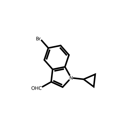 O=Cc1cn(C2CC2)c2ccc(Br)cc12